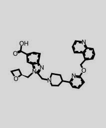 O=C(O)c1ccc2nc(CN3CCC(c4cccc(OCc5cccc6ncccc56)n4)CC3)n(C[C@@H]3CCO3)c2c1